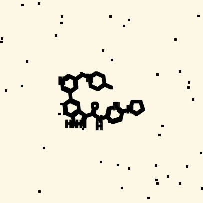 CC1CCN(Cc2cncc(-c3ccc4[nH]nc(C(=O)Nc5ccc(N6CCCC6)nc5)c4c3)c2)CC1